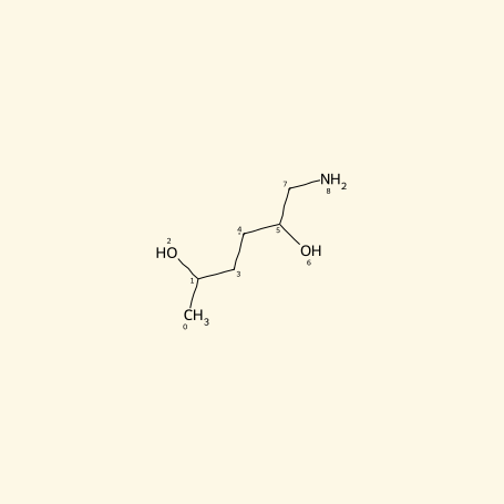 CC(O)C[CH]C(O)CN